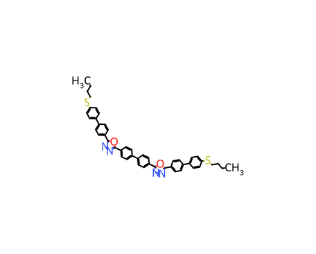 CCCCSc1ccc(-c2ccc(-c3nnc(-c4ccc(-c5ccc(-c6nnc(-c7ccc(-c8ccc(SCCCC)cc8)cc7)o6)cc5)cc4)o3)cc2)cc1